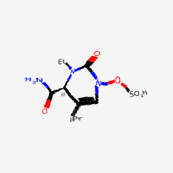 CCN1C(=O)N(OS(=O)(=O)O)C=C(C(C)C)[C@H]1C(N)=O